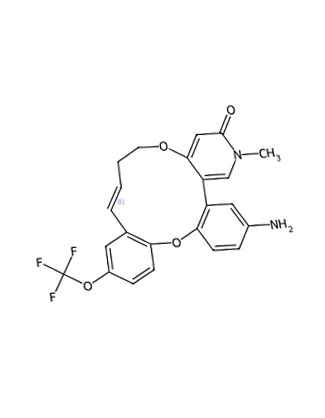 Cn1cc2c(cc1=O)OCC/C=C/c1cc(OC(F)(F)F)ccc1Oc1ccc(N)cc1-2